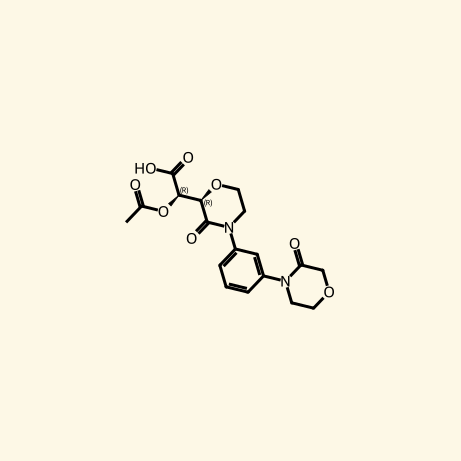 CC(=O)O[C@@H](C(=O)O)[C@H]1OCCN(c2cccc(N3CCOCC3=O)c2)C1=O